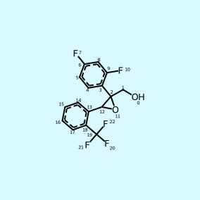 OCC1(c2ccc(F)cc2F)OC1c1ccccc1C(F)(F)F